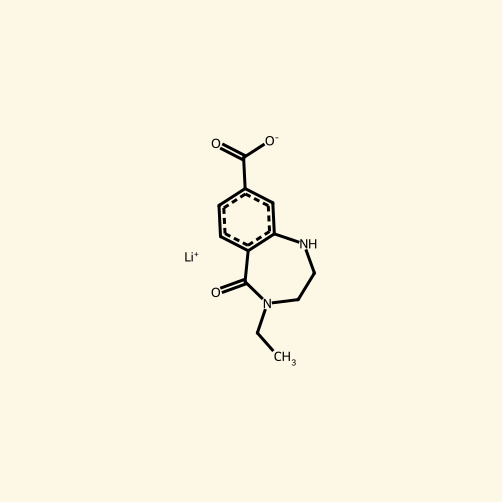 CCN1CCNc2cc(C(=O)[O-])ccc2C1=O.[Li+]